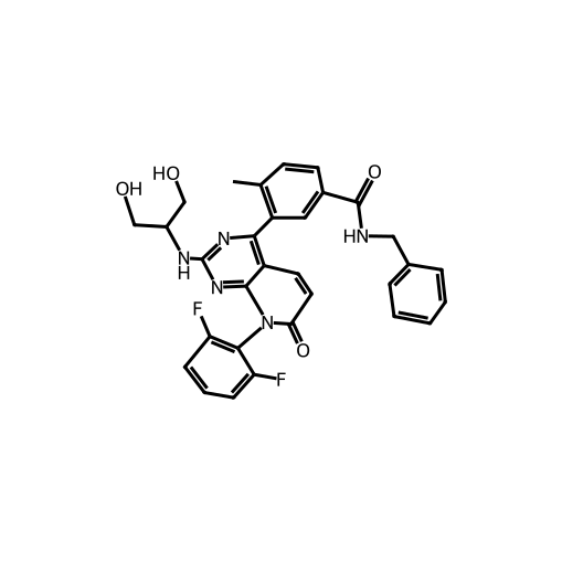 Cc1ccc(C(=O)NCc2ccccc2)cc1-c1nc(NC(CO)CO)nc2c1ccc(=O)n2-c1c(F)cccc1F